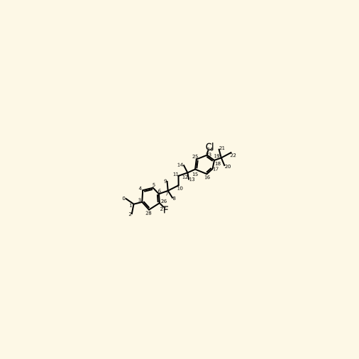 CC(C)c1ccc(C(C)(C)CCC(C)(C)c2ccc(C(C)(C)C)c(Cl)c2)c(F)c1